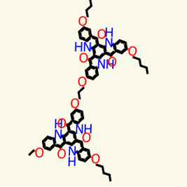 CCCCCOc1ccc2[nH]c3c4c(=O)c5cc(OCC)ccc5[nH]c4c4c(=O)c5cc(OCCCOc6ccc7[nH]c8c9c(=O)c%10cc(OCCCCC)ccc%10[nH]c9c9c(=O)c%10cc(OCCCCC)ccc%10[nH]c9c8c(=O)c7c6)ccc5[nH]c4c3c(=O)c2c1